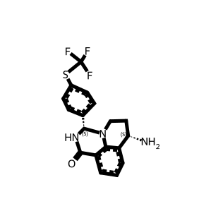 N[C@H]1CCN2c3c(cccc31)C(=O)N[C@@H]2c1ccc(SC(F)(F)F)cc1